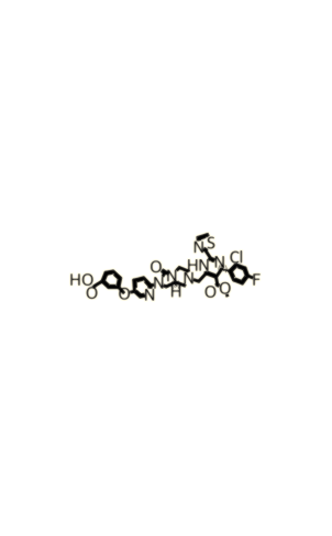 COC(=O)C1=C(CN2CCN3C(=O)N(c4ccc(Oc5cccc(C(=O)O)c5)cn4)C[C@@H]3C2)NC(c2nccs2)=N[C@H]1c1ccc(F)cc1Cl